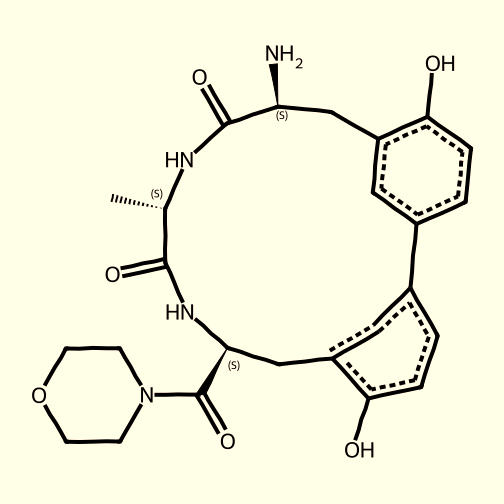 C[C@@H]1NC(=O)[C@@H](N)Cc2cc(ccc2O)-c2ccc(O)c(c2)C[C@@H](C(=O)N2CCOCC2)NC1=O